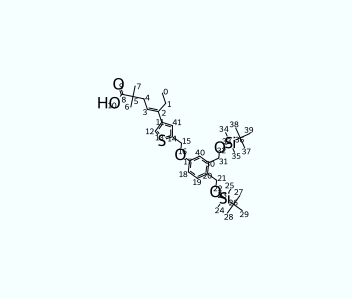 CCC(=CCC(C)(C)C(=O)O)c1csc(COc2ccc(CO[Si](C)(C)C(C)(C)C)c(CO[Si](C)(C)C(C)(C)C)c2)c1